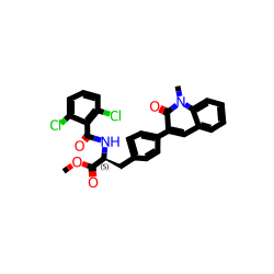 COC(=O)[C@H](Cc1ccc(-c2cc3ccccc3n(C)c2=O)cc1)NC(=O)c1c(Cl)cccc1Cl